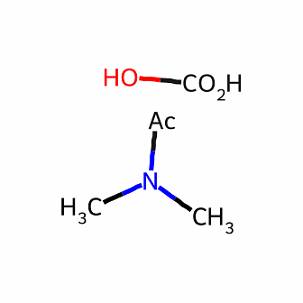 CC(=O)N(C)C.O=C(O)O